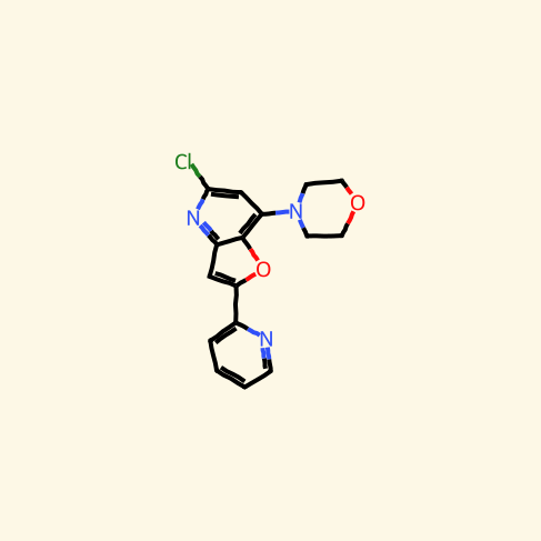 Clc1cc(N2CCOCC2)c2oc(-c3ccccn3)cc2n1